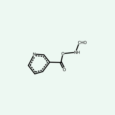 O=CNOC(=O)c1cccnc1